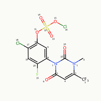 Cn1c(C(F)(F)F)cc(=O)n(-c2cc(OS(=O)(=O)OCl)c(Cl)cc2F)c1=O